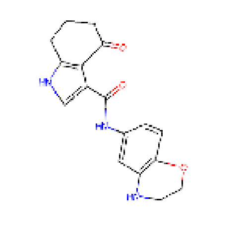 O=C(Nc1ccc2c(c1)NCCO2)c1c[nH]c2c1C(=O)CCC2